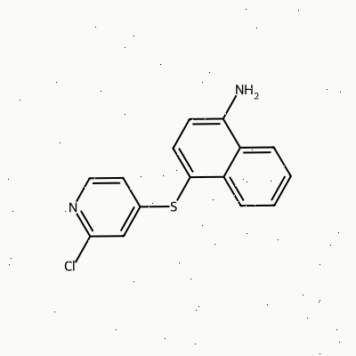 Nc1ccc(Sc2ccnc(Cl)c2)c2ccccc12